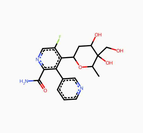 CC1OC(c2c(F)cnc(C(N)=O)c2-c2cccnc2)CC(O)C1(O)CO